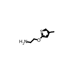 Cc1csc(OCCN)c1